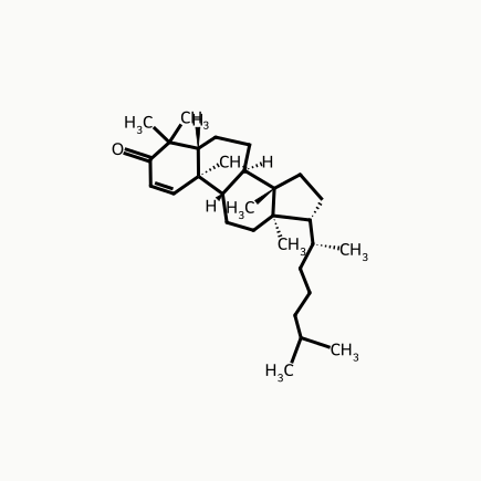 CC(C)CCC[C@@H](C)[C@H]1CC[C@@]2(C)[C@@H]3CC[C@H]4C(C)(C)C(=O)C=C[C@]4(C)[C@H]3CC[C@]12C